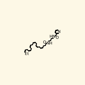 CC/C=C\C/C=C\C/C=C\C/C=C\C/C=C\C/C=C\CCC(=O)NCCCCNC(=O)c1cccnc1